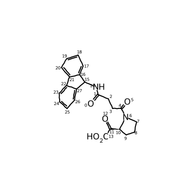 O=C(CCC(=O)N1CCC[C@H]1C(=O)C(=O)O)NC1c2ccccc2-c2ccccc21